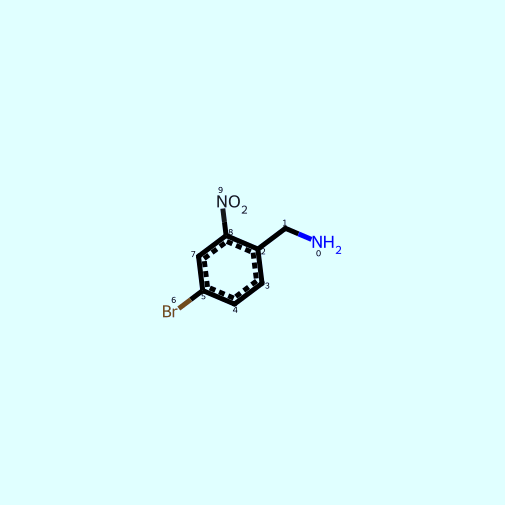 NCc1ccc(Br)cc1[N+](=O)[O-]